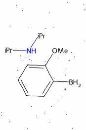 Bc1ccccc1OC.CC(C)NC(C)C